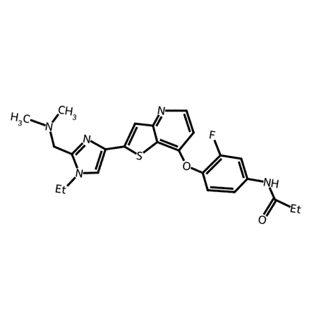 CCC(=O)Nc1ccc(Oc2ccnc3cc(-c4cn(CC)c(CN(C)C)n4)sc23)c(F)c1